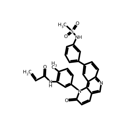 C=CC(=O)Nc1cc(-n2c(=O)ccc3cnc4ccc(-c5cccc(NS(C)(=O)=O)c5)cc4c32)ccc1C